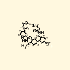 C[C@@H](NC(=O)c1cc(C2=CCOCC2)ccn1)c1ccc(-c2cc(C(F)(F)F)ccc2CNC(=O)OC(C)(C)C)cc1